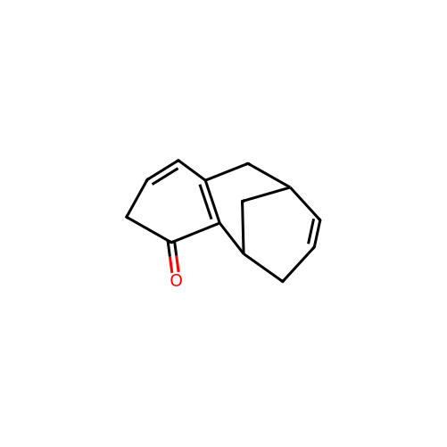 O=C1CC=CC2=C1C1CC=CC(C2)C1